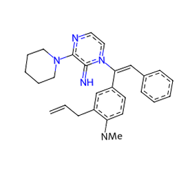 C=CCc1cc(/C(=C\c2ccccc2)n2ccnc(N3CCCCC3)c2=N)ccc1NC